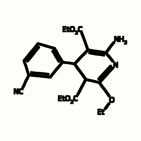 CCOC(=O)C1=C(N)N=C(OCC)C(C(=O)OCC)C1c1cccc(C#N)c1